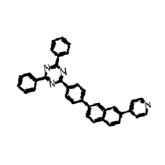 c1ccc(-c2nc(-c3ccccc3)nc(-c3ccc(-c4ccc5ccc(-c6ccncc6)cc5c4)cc3)n2)cc1